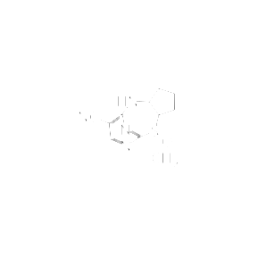 C.N#Cc1cnc2nc1NC1CCCC1[S+]2[O-]